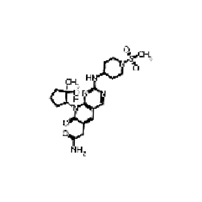 C[C@]1(O)CCC[C@@H]1n1c(=O)c(CC(N)=O)cc2cnc(NC3CCN(S(C)(=O)=O)CC3)nc21